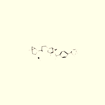 C[C@H](c1ccc(-c2nnn[nH]2)cc1)N1C(=O)[C@@H]2C[C@H]1CN2C[C@H](C)C(=O)N1C2C[C@H]2C[C@H]1C#N